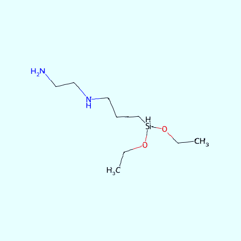 CCO[SiH](CCCNCCN)OCC